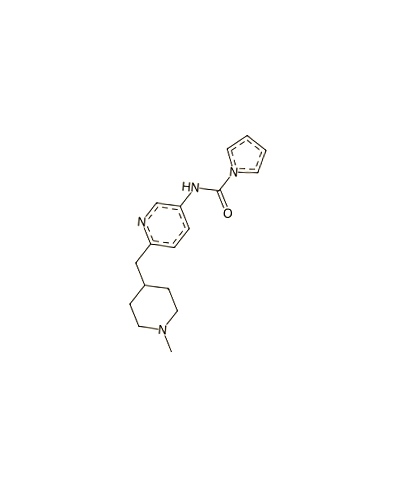 CN1CCC(Cc2ccc(NC(=O)n3cccc3)cn2)CC1